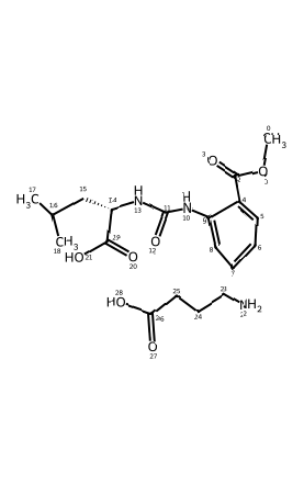 COC(=O)c1ccccc1NC(=O)N[C@@H](CC(C)C)C(=O)O.NCCCC(=O)O